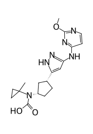 COc1nccc(Nc2cc([C@@H]3CC[C@H](N(C(=O)O)C4(C)CC4)C3)[nH]n2)n1